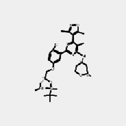 CNC[C@H](COc1ccc(Cl)c(-c2nc(N[C@@H]3CCO[C@H](C)C3)c(C)c(-c3c(C)noc3C)n2)c1)O[Si](C)(C)C(C)(C)C